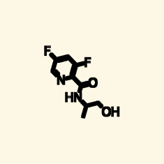 CC(CO)NC(=O)c1ncc(F)cc1F